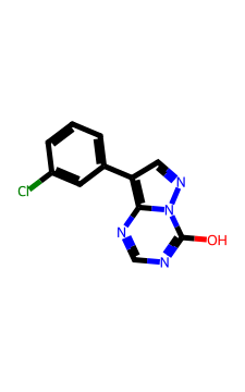 Oc1ncnc2c(-c3cccc(Cl)c3)cnn12